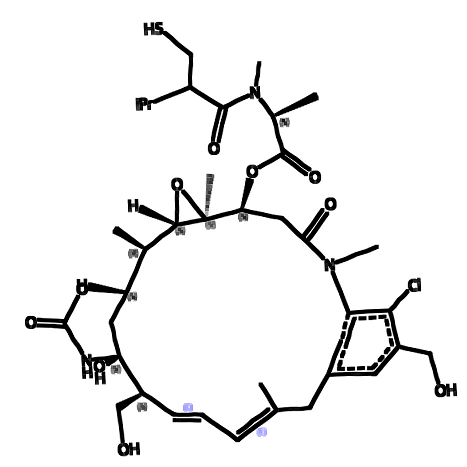 C/C1=C\C=C\[C@@H](CO)[C@@]2(O)C[C@H](OC(=O)N2)[C@@H](C)[C@@H]2O[C@@]2(C)[C@@H](OC(=O)[C@H](C)N(C)C(=O)C(CS)C(C)C)CC(=O)N(C)c2cc(cc(CO)c2Cl)C1